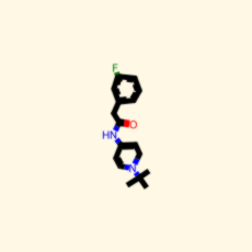 CC(C)(C)N1C=CC(NC(=O)Cc2cccc(F)c2)=CC1